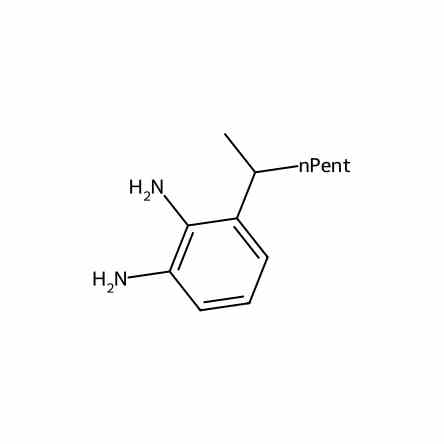 CCCCCC(C)c1cccc(N)c1N